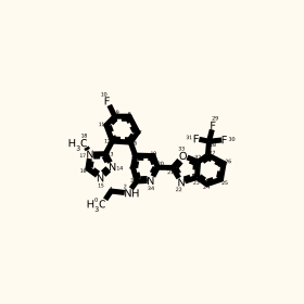 CCNc1cc(-c2ccc(F)cc2-c2nncn2C)cc(-c2nc3cccc(C(F)(F)F)c3o2)n1